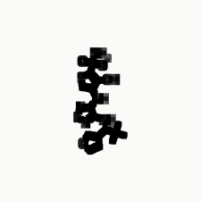 CC(C)(C)[C@@H](Nc1nsnc1Nc1csc(S(N)(=O)=O)c1O)c1ccoc1